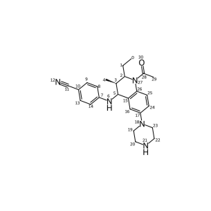 CCC1[C@H](C)C(Nc2ccc(C#N)cc2)c2cc(N3CCNCC3)ccc2N1C(C)=O